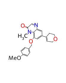 COc1ccc(COc2cc(C3=CCOCC3)cc3ncc(=O)n(C)c23)cc1